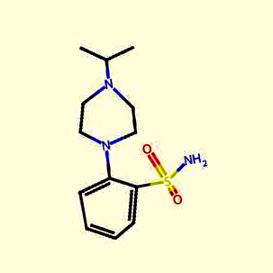 CC(C)N1CCN(c2ccccc2S(N)(=O)=O)CC1